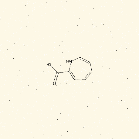 [O]C(=O)C1=CC=CC=CN1